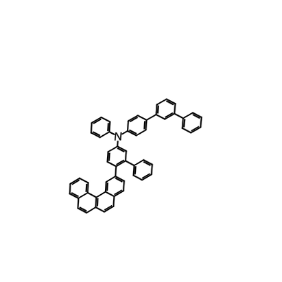 c1ccc(-c2cccc(-c3ccc(N(c4ccccc4)c4ccc(-c5ccc6ccc7ccc8ccccc8c7c6c5)c(-c5ccccc5)c4)cc3)c2)cc1